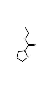 CCSC(=O)N1CCCN1